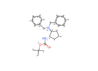 CC(C)(C)OC(=O)N[C@H]1CCC[C@@H]1N(Cc1ccccc1)Cc1ccccc1